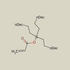 C=CC(=O)O[Si](CCCCCCCCCCCC)(CCCCCCCCCCCC)CCCCCCCCCCCC